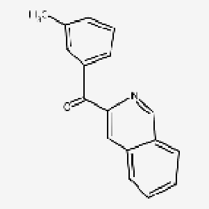 Cc1cccc(C(=O)c2cc3ccccc3cn2)c1